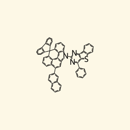 c1ccc(-c2nc(-n3c4cccc5c4c4c6c(cccc6c(-c6ccc7ccccc7c6)cc43)C53c4ccccc4-c4ccccc43)nc3c2sc2ccccc23)cc1